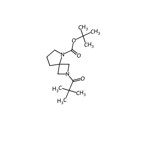 CC(C)(C)OC(=O)N1CCCC12CN(C(=O)C(C)(C)C)C2